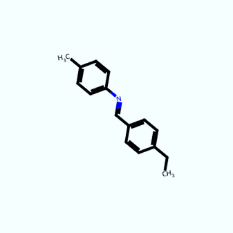 CCc1ccc(C=Nc2ccc(C)cc2)cc1